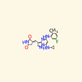 Cc1ccc(F)cc1Nc1cc(NC2CC2)n2ncc(/C=C3\CC(=O)NC3=O)c2n1